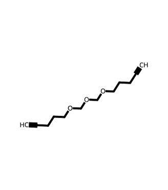 C#CCCCOCOCOCCCC#C